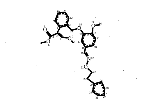 CO/C=C(/C(=O)OC)c1ccccc1COc1cc(/C=N/OCCc2ccccc2)ccc1OC